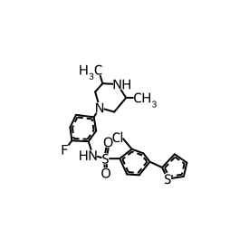 CC1CN(c2ccc(F)c(NS(=O)(=O)c3ccc(-c4cccs4)cc3Cl)c2)CC(C)N1